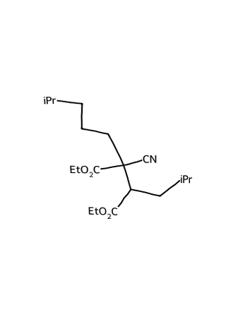 CCOC(=O)C(CC(C)C)C(C#N)(CCCC(C)C)C(=O)OCC